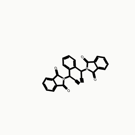 C#CC(c1ccccc1C(C#C)N1C(=O)c2ccccc2C1=O)N1C(=O)c2ccccc2C1=O